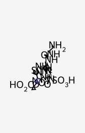 NCCNC(=O)NCc1cnn(C[C@@H]2[C@H](NC(=O)/C(=N\OC3(C(=O)O)CC3)c3csc(N)n3)C(=O)N2S(=O)(=O)O)n1